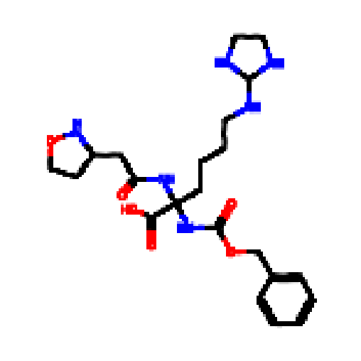 O=C(CC1CCON1)NC(CCCCNC1NCCN1)(NC(=O)OCc1ccccc1)C(=O)O